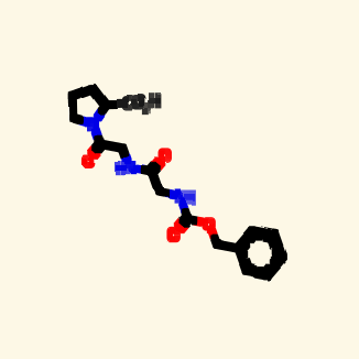 O=C(CNC(=O)OCc1ccccc1)NCC(=O)N1CCCC1C(=O)O